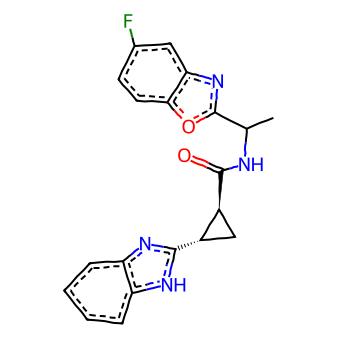 CC(NC(=O)[C@H]1C[C@@H]1c1nc2ccccc2[nH]1)c1nc2cc(F)ccc2o1